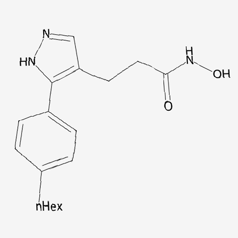 CCCCCCc1ccc(-c2[nH]ncc2CCC(=O)NO)cc1